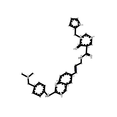 CN(C)Cc1ccc(Nc2ncc3cc(/C=C/CNC(=O)c4cncn(Cc5cccs5)c4=O)ccc3n2)cc1